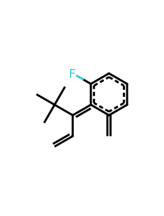 C=C/C(=c1/c(F)cccc1=C)C(C)(C)C